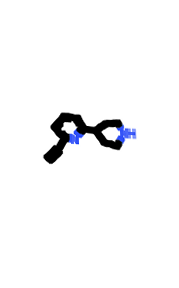 C#Cc1cccc(C2CCNCC2)n1